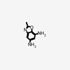 Cc1nc2cc(N)cc(N)c2o1